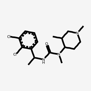 CC(NC(=O)N(C)C1CCN(C)CC1C)c1cccc(Cl)c1Cl